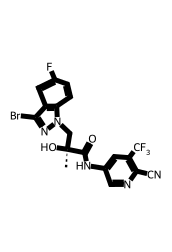 C[C@](O)(Cn1nc(Br)c2cc(F)ccc21)C(=O)Nc1cnc(C#N)c(C(F)(F)F)c1